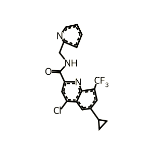 O=C(NCc1ccccn1)c1cc(Cl)c2cc(C3CC3)cc(C(F)(F)F)c2n1